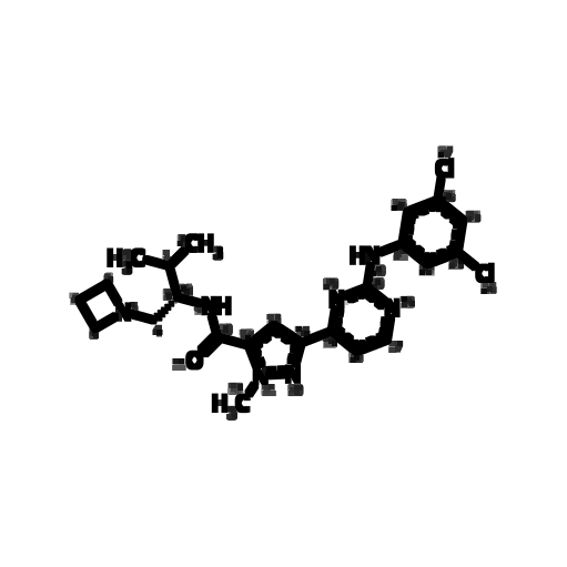 CC(C)[C@@H](CN1CCC1)NC(=O)c1cc(-c2ccnc(Nc3cc(Cl)cc(Cl)c3)n2)nn1C